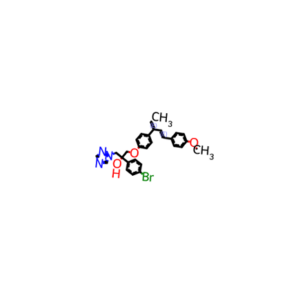 C/C=C(\C=C\c1ccc(OC)cc1)c1ccc(OCC(O)(Cn2cncn2)c2ccc(Br)cc2)cc1